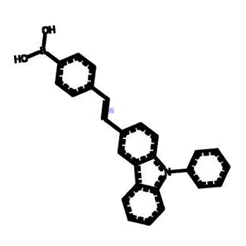 OB(O)c1ccc(/C=C/c2ccc3c(c2)c2ccccc2n3-c2ccccc2)cc1